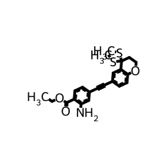 CCOC(=O)c1ccc(C#Cc2ccc3c(c2)C(SC)(SC)CCO3)cc1N